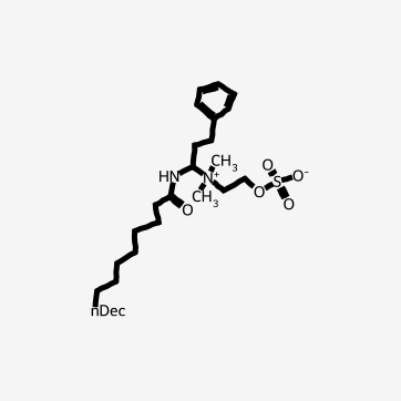 CCCCCCCCCCCCCCCCCC(=O)NC(CCc1ccccc1)[N+](C)(C)CCOS(=O)(=O)[O-]